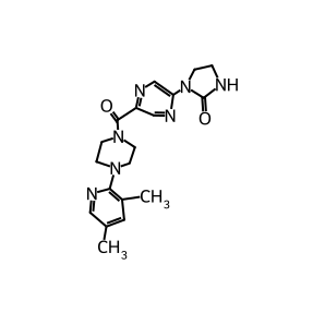 Cc1cnc(N2CCN(C(=O)c3cnc(N4CCNC4=O)cn3)CC2)c(C)c1